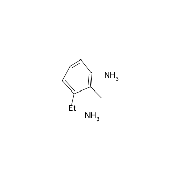 CCc1ccccc1C.N.N